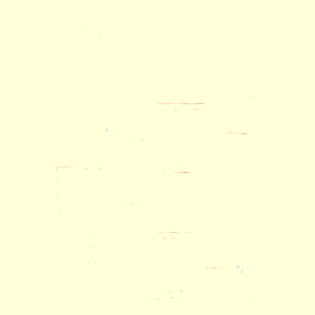 O=C1CCC2=C1C(c1cccc([N+](=O)[O-])c1)c1cc3c(cc1N2CCO)CCC3